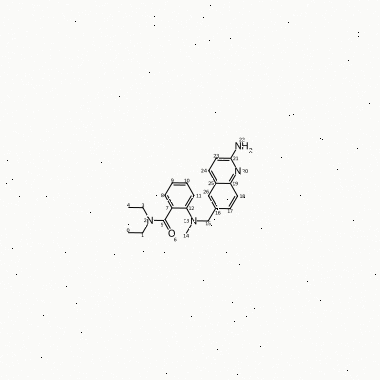 CCN(CC)C(=O)c1ccccc1N(C)Cc1ccc2nc(N)ccc2c1